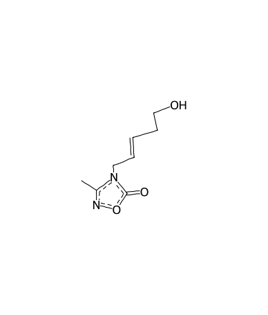 Cc1noc(=O)n1CC=CCCO